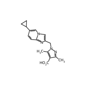 Cc1nn(Cc2cn3cc(C4CC4)ccc3n2)c(C)c1C(=O)O